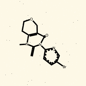 C=C1N(C)C2=C(COCC2)C(=O)N1c1ccc(Br)cn1